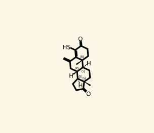 C=C1C[C@@H]2[C@H](CC[C@]3(C)C(=O)CC[C@@H]23)[C@@]2(C)CCC(=O)C(S)=C12